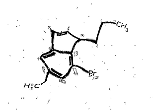 CCCC1C=Cc2cc(C)cc(Br)c21